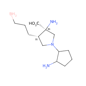 BCCC[C@H]1CN(C2CCCC2N)C[C@@]1(N)C(=O)O